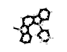 Cn1c2ccccc2c2c1ccc1c3ccccc3n(-c3cccnc3)c12